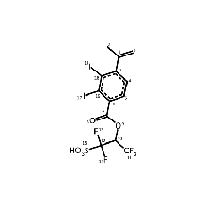 C=C(C)c1ccc(C(=O)OC(C(F)(F)F)C(F)(F)S(=O)(=O)O)c(I)c1I